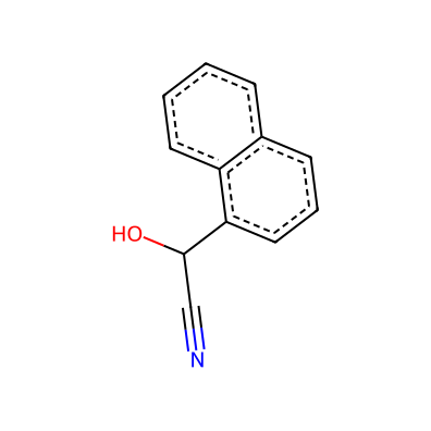 N#CC(O)c1cccc2ccccc12